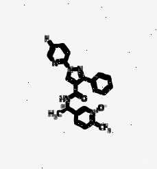 C[C@@H](NC(=O)c1cn(-c2ccc(F)cn2)nc1-c1ccccc1)c1ccc(C(F)(F)F)[n+]([O-])c1